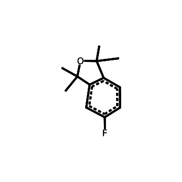 CC1(C)OC(C)(C)c2cc(F)ccc21